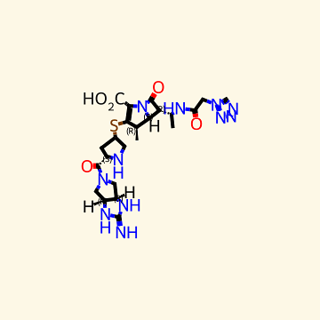 CC(NC(=O)Cn1cnnn1)[C@H]1C(=O)N2C(C(=O)O)=C(SC3CN[C@H](C(=O)N4C[C@@H]5NC(=N)N[C@@H]5C4)C3)[C@H](C)[C@H]12